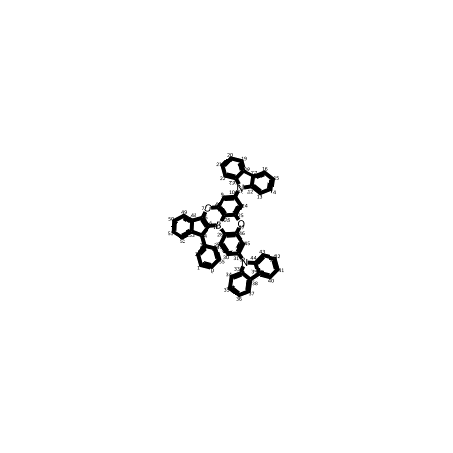 c1ccc(C2C3=C(Oc4cc(-n5c6ccccc6c6ccccc65)cc5c4B3c3ccc(-n4c6ccccc6c6ccccc64)cc3O5)c3ccccc32)cc1